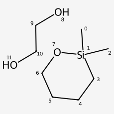 C[Si]1(C)CCCCO1.OCCO